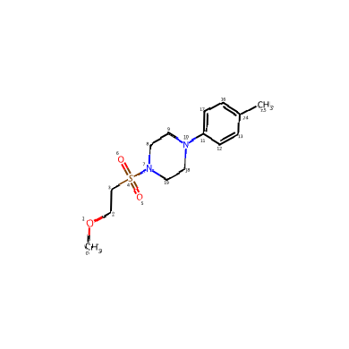 COCCS(=O)(=O)N1CCN(c2ccc(C)cc2)CC1